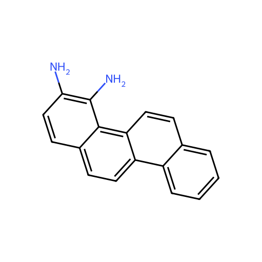 Nc1ccc2ccc3c4ccccc4ccc3c2c1N